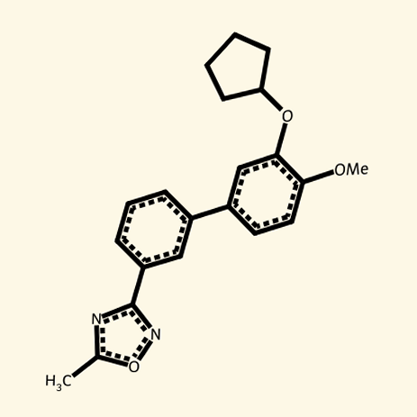 COc1ccc(-c2cccc(-c3noc(C)n3)c2)cc1OC1CCCC1